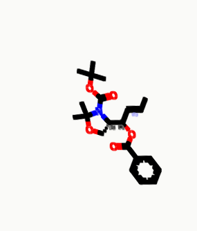 C/C=C/[C@@H](OC(=O)c1ccccc1)[C@@H]1COC(C)(C)N1C(=O)OC(C)(C)C